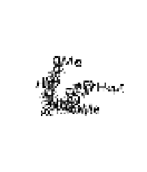 CCCCCCCOc1ccc(C(=O)Oc2ccc(CC(NC(=O)c3ccc(NC(=O)Cc4cccc(OC)c4)cc3)C(C)=O)cc2OC)cc1